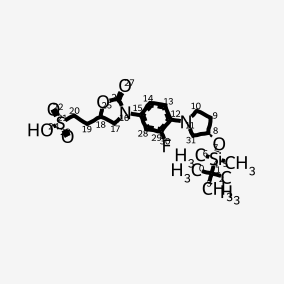 CC(C)(C)[Si](C)(C)O[C@H]1CCN(c2ccc(N3CC(CCS(=O)(=O)O)OC3=O)cc2F)C1